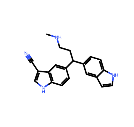 CNCCC(c1ccc2[nH]ccc2c1)c1ccc2[nH]cc(C#N)c2c1